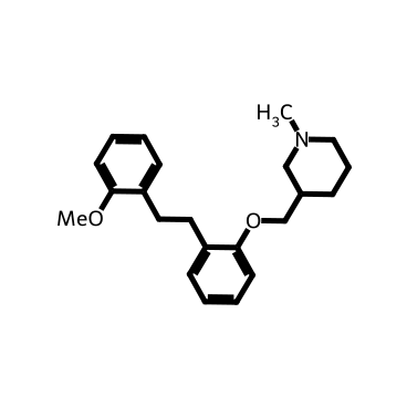 COc1ccccc1CCc1ccccc1OCC1CCCN(C)C1